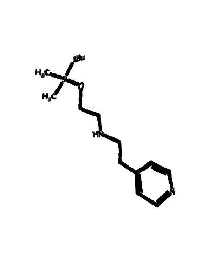 CC(C)(C)[Si](C)(C)OCCNCCc1ccncc1